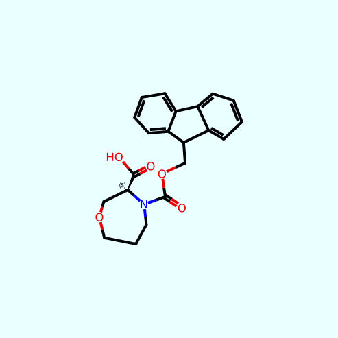 O=C(O)[C@@H]1COCCCN1C(=O)OCC1c2ccccc2-c2ccccc21